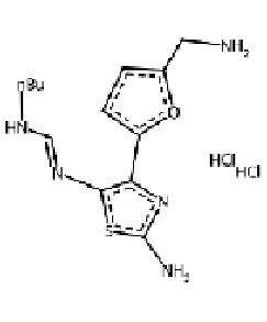 CCCCNC=Nc1sc(N)nc1-c1ccc(CN)o1.Cl.Cl